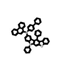 c1ccc(-c2ccc(N(c3ccc4c(c3)c3c(-c5ccccc5)c5c(cc3n4-c3ccccc3)oc3ccccc35)c3cc4ccccc4c4ccccc34)cc2)cc1